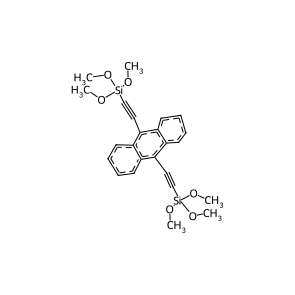 CO[Si](C#Cc1c2ccccc2c(C#C[Si](OC)(OC)OC)c2ccccc12)(OC)OC